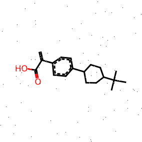 C=C(C(=O)O)c1ccc(C2CCC(C(C)(C)C)CC2)cc1